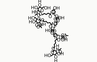 CC(=O)NC1C(OCCCCC(=O)N2C[C@H](O)C[C@H]2COP(=O)(O)O[C@@H]2C[C@@H](COP(=O)(O)O[C@@H]3C[C@@H](COP(=O)(O)OC(C)C)N(C(=O)CCCCOC4OC(CO)C(O)C(O)C4NC(C)=O)C3)N(C(=O)CCCCOC3OC(CO)C(O)C(O)C3NC(C)=O)C2)OC(CO)C(O)C1O